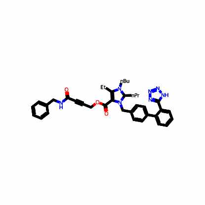 CCCCN1C(CC)=C(C(=O)OCC#CC(=O)NCc2ccccc2)N(Cc2ccc(-c3ccccc3-c3nnn[nH]3)cc2)C1CCC